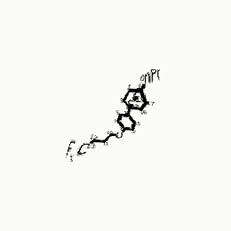 CCCC12CCC(c3ccc(OCCCC(F)(F)F)cc3)(CC1)CC2